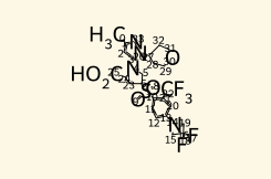 Cc1cc(N2C[C@H](S(=O)(=O)c3ccc(N4CC(F)(F)C4)cc3C(F)(F)F)C[C@H]2C(=O)O)n(C2CCOCC2)n1